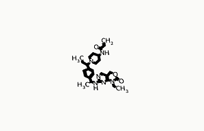 C=CC(=O)NC1CCN(C(CC)c2ccc([C@H](C)Nc3ncc4c(n3)N(CC)C(=O)OC4)cc2)CC1